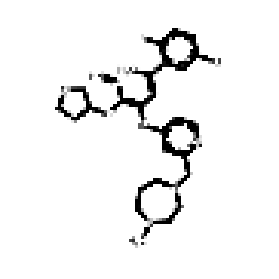 C/C(=C\C(Nc1ccnc(CN2CCCN(C)CC2)c1)=C(/N=N)OC1CCOC1)c1cc(Cl)ccc1F